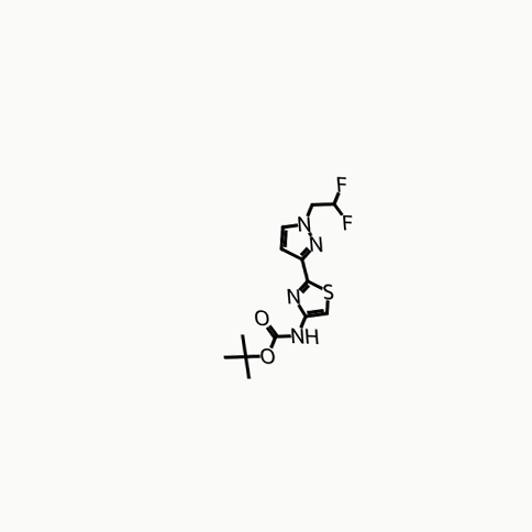 CC(C)(C)OC(=O)Nc1csc(-c2ccn(CC(F)F)n2)n1